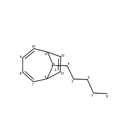 CCCCCP1C2C=CC=CC1C=C2